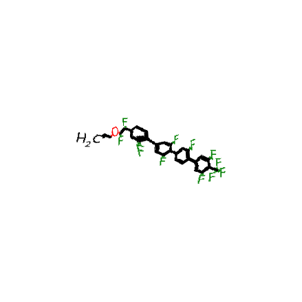 C=CCO/C(F)=C(\F)c1ccc(-c2cc(F)c(-c3ccc(-c4cc(F)c(C(F)(F)F)c(F)c4)c(F)c3)c(F)c2)c(F)c1